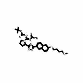 COCCCCOc1ccc2cc(-c3noc(C4CCCN4C(=NC(=O)O)NC(=O)OC(C)(C)C)n3)ccc2c1